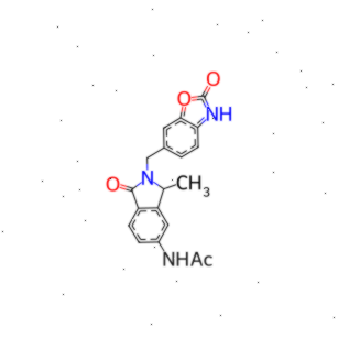 CC(=O)Nc1ccc2c(c1)C(C)N(Cc1ccc3[nH]c(=O)oc3c1)C2=O